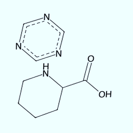 O=C(O)C1CCCCN1.c1ncncn1